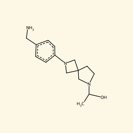 CC(O)N1CCC2(CN(c3ccc(CN)cc3)C2)C1